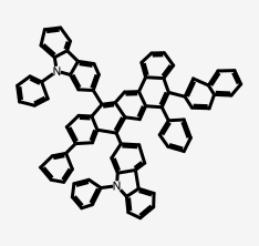 c1ccc(-c2ccc3c(-c4ccc5c6ccccc6n(-c6ccccc6)c5c4)c4cc5c(cc4c(-c4ccc6c7ccccc7n(-c7ccccc7)c6c4)c3c2)c(-c2ccccc2)c(-c2ccc3ccccc3c2)c2ccccc25)cc1